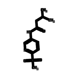 CC(C)CC(=O)Nc1ccc(S(C)(=O)=O)nc1